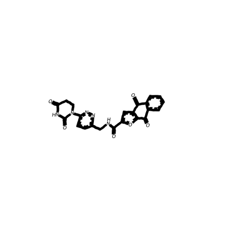 O=C1CCN(c2ccc(CNC(=O)c3cc4c(o3)C(=O)c3ccccc3C4=O)nn2)C(=O)N1